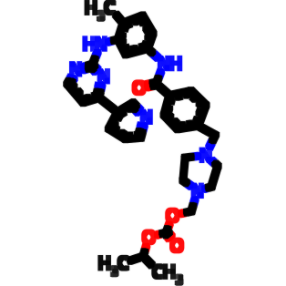 Cc1ccc(NC(=O)c2ccc(CN3CCN(COC(=O)OC(C)C)CC3)cc2)cc1Nc1nccc(-c2cccnc2)n1